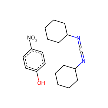 C(=NC1CCCCC1)=NC1CCCCC1.O=[N+]([O-])c1ccc(O)cc1